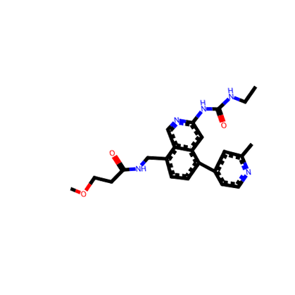 CCNC(=O)Nc1cc2c(-c3ccnc(C)c3)ccc(CNC(=O)CCOC)c2cn1